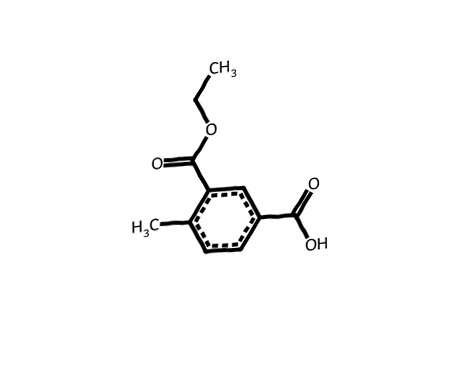 CCOC(=O)c1cc(C(=O)O)ccc1C